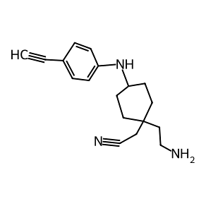 C#Cc1ccc(NC2CCC(CC#N)(CCN)CC2)cc1